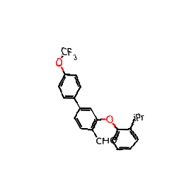 CC(C)c1ccccc1Oc1cc(-c2ccc(OC(F)(F)F)cc2)ccc1C=O